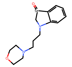 O=[Se]1CN(CCCN2CCOCC2)c2ccccc21